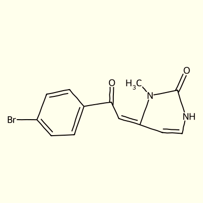 CN1C(=O)NC=CC1=CC(=O)c1ccc(Br)cc1